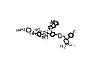 CO[C@H]1CC[C@H](CNc2ccc(S(=O)(=O)NC(=O)c3ccc(N4CCN(CC5=C(c6ccc(Cl)cc6)CC(C)(C)CC5)CC4)cc3-n3ncc4nc5[nH]ccc5cc43)cc2[N+](=O)[O-])CC1